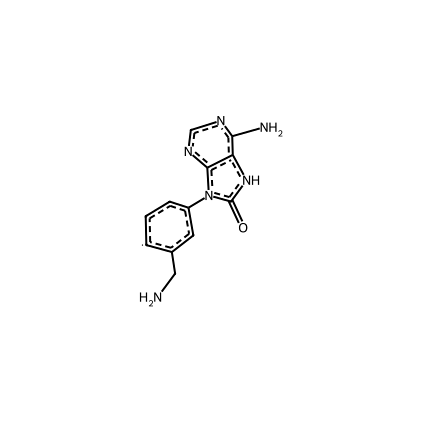 NCc1[c]ccc(-n2c(=O)[nH]c3c(N)ncnc32)c1